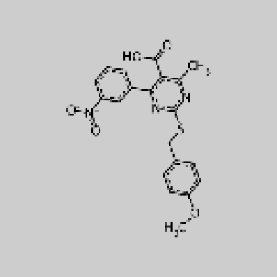 COc1ccc(CSc2nc(C)c(C(=O)O)c(-c3cccc([N+](=O)[O-])c3)n2)cc1